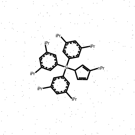 CCCC1=C[C]([Si](c2cc(C(C)C)cc(C(C)C)c2)(c2cc(C(C)C)cc(C(C)C)c2)c2cc(C(C)C)cc(C(C)C)c2)C=C1